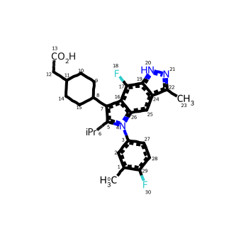 Cc1cc(-n2c(C(C)C)c(C3CCC(CC(=O)O)CC3)c3c(F)c4[nH]nc(C)c4cc32)ccc1F